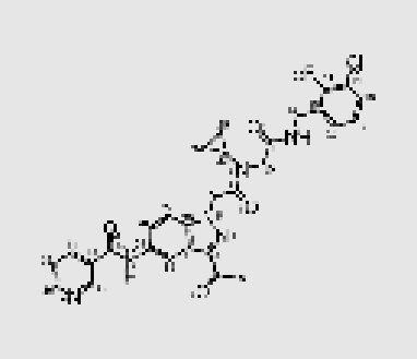 CC(=O)c1nn(CC(=O)N(CC(=O)NCc2cccc(Cl)c2F)C2CC2)c2ccc(NC(=O)c3cccnc3)cc12